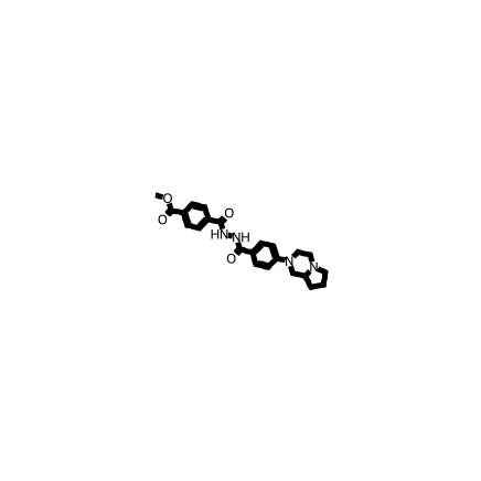 COC(=O)c1ccc(C(=O)NNC(=O)c2ccc(N3CCN4CCCC4C3)cc2)cc1